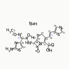 CO/N=C(/C(=O)NC1C(=O)N2C(C(=O)O)=C(/C=C/c3cncs3)CS[C@H]12)c1csc(N)n1.[NaH]